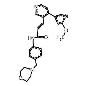 COc1ncc(-c2ccncc2C=CC(=O)Nc2ccc(CN3CCOCC3)cc2)s1